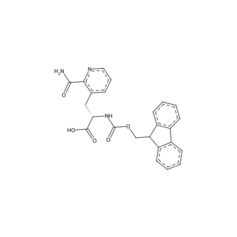 NC(=O)c1ncccc1C[C@H](NC(=O)OCC1c2ccccc2-c2ccccc21)C(=O)O